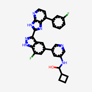 OC(Nc1cncc(-c2cc(F)c3[nH]nc(-c4nc5c(-c6cccc(F)c6)ccnc5[nH]4)c3c2)c1)C1CCC1